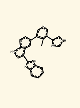 Cc1c(-c2ccc3[nH]nc(-c4nc5ccccc5[nH]4)c3c2)cncc1-c1c[nH]cn1